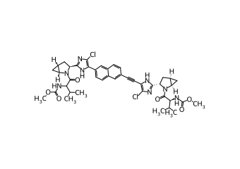 COC(=O)NC(C(=O)N1[C@@H]2C[C@@H]2C[C@H]1c1nc(Cl)c(-c2ccc3cc(C#Cc4[nH]c([C@@H]5C[C@H]6C[C@H]6N5C(=O)[C@@H](NC(=O)OC)C(C)C)nc4Cl)ccc3c2)[nH]1)C(C)C